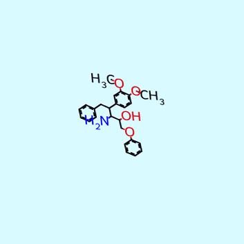 COc1ccc(C(Cc2ccccc2)C(N)C(O)COc2ccccc2)cc1OC